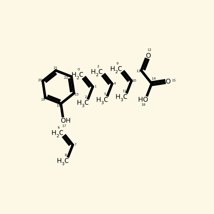 C=CC.C=CC.C=CC.C=CC.O=CC(=O)O.Oc1ccccc1